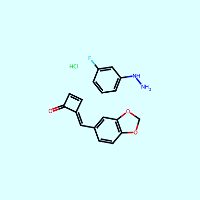 Cl.NNc1cccc(F)c1.O=C1C=CC1=Cc1ccc2c(c1)OCO2